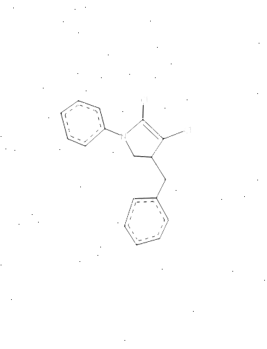 ClC1=C(Cl)N(c2ccccc2)CC1Cc1ccccc1